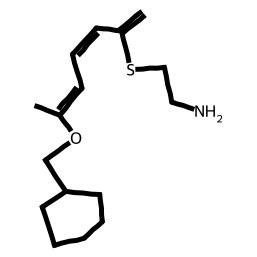 C=C(/C=C\C=C(/C)OCC1CCCCC1)SCCN